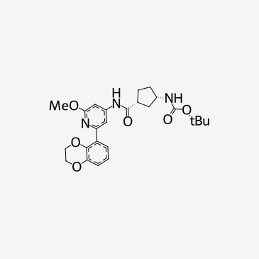 COc1cc(NC(=O)[C@@H]2CC[C@H](NC(=O)OC(C)(C)C)C2)cc(-c2cccc3c2OCCO3)n1